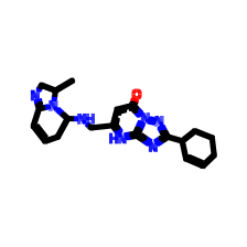 CC1CN=C2C=CCC(NCc3cc(=O)n4nc(C5C=CCCC5)nc4[nH]3)N21